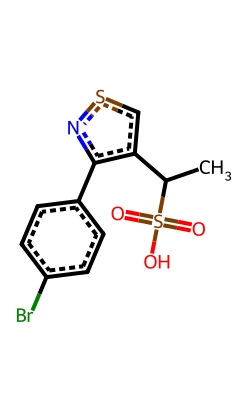 CC(c1csnc1-c1ccc(Br)cc1)S(=O)(=O)O